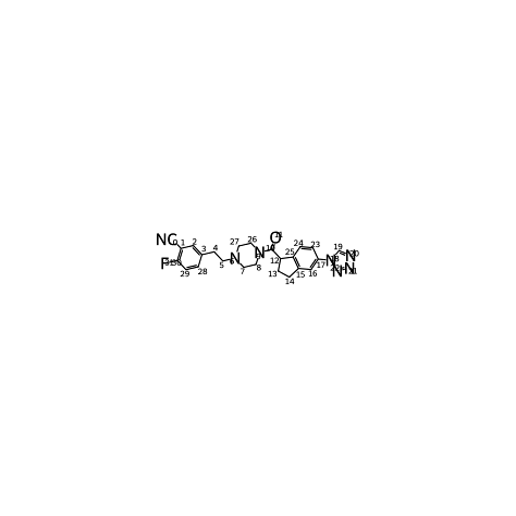 N#Cc1cc(CCN2CCN(C(=O)C3CCc4cc(-n5cnnn5)ccc43)CC2)ccc1F